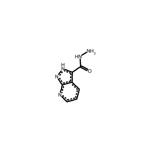 NNC(=O)c1[nH]nc2ncccc12